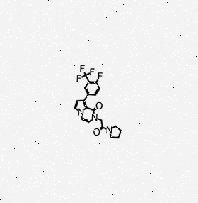 O=C(Cn1ccn2ccc(-c3ccc(F)c(C(F)(F)F)c3)c2c1=O)N1CCCC1